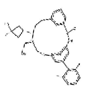 Cc1cccc(C)c1-c1cc2nc(n1)N[S+]([O-])c1cccc(c1)CCC([C@H]1C[C@](C)(O)C1)[C@H](CC(C)(C)C)CO2